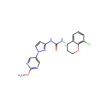 COc1ncc(-n2ccc(NC(=O)N[C@H]3CCOc4c(Cl)cccc43)n2)cn1